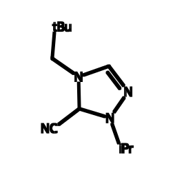 CC(C)N1N=CN(CC(C)(C)C)C1C#N